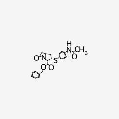 CC(=O)Nc1ccc(SC2CC3CC(=O)N3[C@H]2C(=O)OCc2ccccc2)cc1